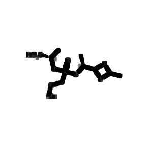 CCCCOCP(=O)(O[C@@H](C)C(=O)OCC)O[C@@H](C)C1OC(C)O1